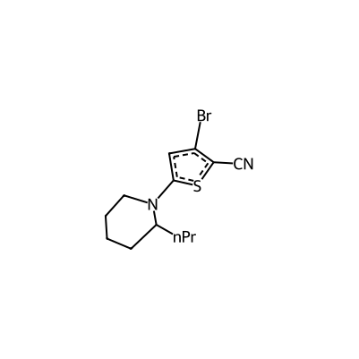 CCCC1CCCCN1c1cc(Br)c(C#N)s1